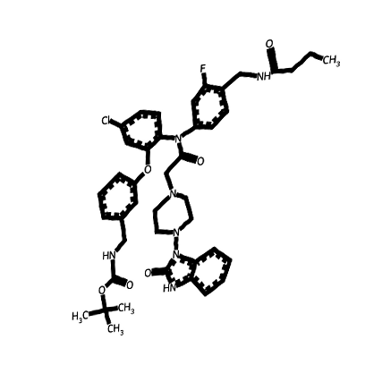 CCCC(=O)NCc1ccc(N(C(=O)CN2CCN(n3c(=O)[nH]c4ccccc43)CC2)c2ccc(Cl)cc2Oc2cccc(CNC(=O)OC(C)(C)C)c2)cc1F